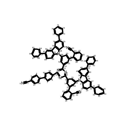 N#Cc1ccc(-c2ccc(-c3nc(-c4cc(-c5ccccc5C#N)cc(-n5c6ccc(-c7ccccc7)cc6c6cc(-c7ccccc7)ccc65)c4)nc(-c4cc(-c5ccccc5C#N)cc(-n5c6ccc(-c7ccccc7)cc6c6cc(-c7ccccc7)ccc65)c4)n3)cc2)cc1